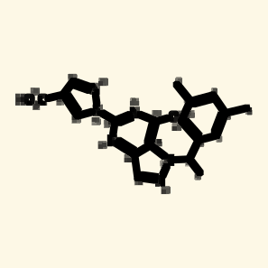 Cc1cc(C)cc(C(C)n2ncc3nc(-n4cc(C(=O)O)cn4)nc(O)c32)c1